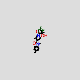 Cc1ccc(N(C)C(=O)[C@@H]2CCN(C(=O)C(C)(O)C(F)(F)F)C[C@@H]2C)cc1